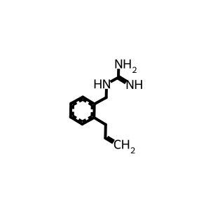 C=CCc1ccccc1CNC(=N)N